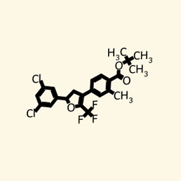 Cc1cc(C2=C(C(F)(F)F)OC(c3cc(Cl)cc(Cl)c3)C2)ccc1C(=O)OC(C)(C)C